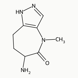 CN1C(=O)C(N)CCc2[nH]ncc21